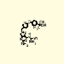 CCCC(N)Nc1nc(N)nc2cn(Cc3ccc(Oc4ccc(C(C)(C)O)cc4)nc3)nc12